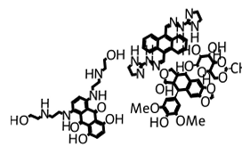 C(=N/NC1=NCCN1)/c1c2ccccc2c(/C=N\NC2=NCCN2)c2ccccc12.COc1cc([C@@H]2c3cc4c(cc3[C@@H](O[C@@H]3O[C@@H]5CO[C@@H](C)O[C@H]5[C@H](O)[C@H]3O)[C@H]3COC(=O)[C@H]23)OCO4)cc(OC)c1O.O=C1c2c(O)ccc(O)c2C(=O)c2c(NCCNCCO)ccc(NCCNCCO)c21